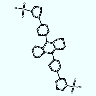 O=S(=O)(O)c1cccc(-c2ccc(-c3c4ccccc4c(-c4ccc(-c5cccc(S(=O)(=O)O)c5)cc4)c4ccccc34)cc2)c1